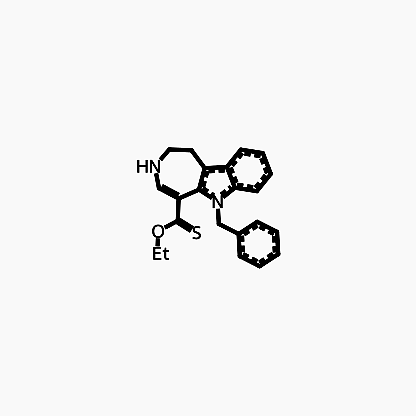 CCOC(=S)C1=CNCCc2c1n(Cc1ccccc1)c1ccccc21